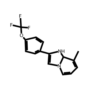 CC1=CC=CN2C=C(c3ccc(OC(F)(F)F)cc3)NC12